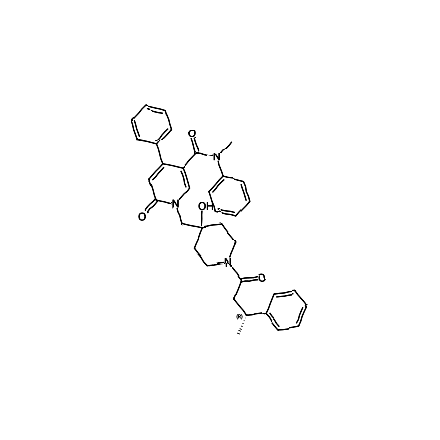 C[C@H](CC(=O)N1CCC(O)(Cn2cc(C(=O)N(C)c3ccccc3)c(-c3ccccc3)cc2=O)CC1)c1ccccc1